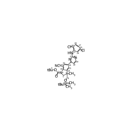 CC(C)(C)OC(=O)N1CC(C)(CO[Si](C)(C)C(C)(C)C)c2cc(-c3ccnc(Nc4cc(Cl)ccc4Cl)n3)cc(C#N)c21